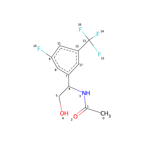 CC(=O)NC(CO)c1cc(F)cc(C(F)(F)F)c1